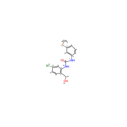 CSc1cccc(NC(=O)Nc2cc(Br)ccc2CO)c1